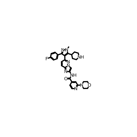 Cn1nc(-c2ccc(F)cc2)c(-c2ccc3nc(NC(=O)c4ccnc(N5CCOCC5)c4)cn3n2)c1C1CCNCC1